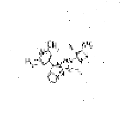 Cc1cc(-c2nc([C@H](C)Nc3ncnc(N)c3C#N)nn3cccc23)cc(C)n1